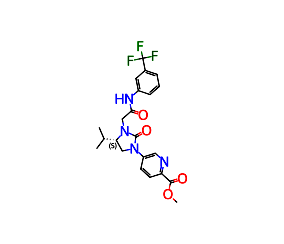 COC(=O)c1ccc(N2C[C@H](C(C)C)N(CC(=O)Nc3cccc(C(F)(F)F)c3)C2=O)cn1